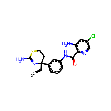 C=CC1(c2cccc(NC(=O)c3ncc(Cl)cc3N)c2)CCSC(N)=N1